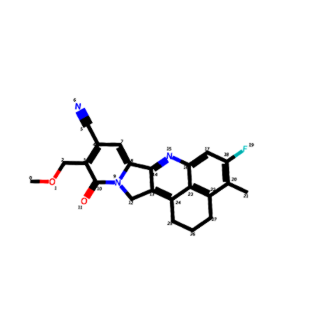 COCc1c(C#N)cc2n(c1=O)Cc1c-2nc2cc(F)c(C)c3c2c1CCC3